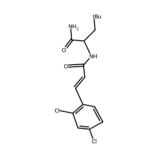 CC(C)(C)CC(NC(=O)/C=C/c1ccc(Cl)cc1Cl)C(N)=O